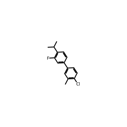 Cc1cc(-c2ccc(C(C)C)c(F)c2)ccc1Cl